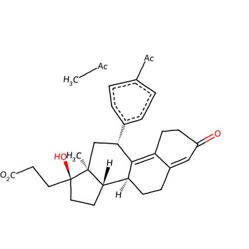 CC(=O)c1ccc([C@H]2C[C@@]3(C)[C@@H](CC[C@]3(O)CCC(=O)O)[C@@H]3CCC4=CC(=O)CCC4=C32)cc1.CC(C)=O